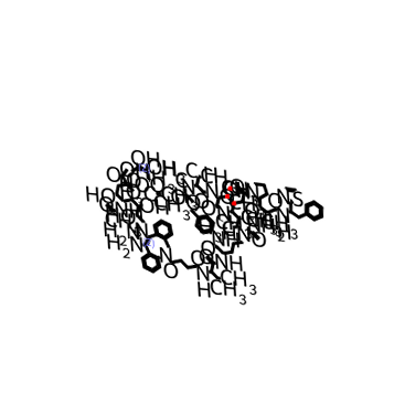 CCC(C)C(C(CC(=O)N1CCCC1C(OC)C(C)C(=O)NC(Cc1ccccc1)c1nccs1)OC)N(C)C(=O)C(NC(=O)C(C(C)C)N(C)C(=O)OCc1ccc(NC(=O)C(CCCNC(N)=O)NC(=O)C(NC(=O)CCC(=O)N2Cc3ccccc3/C(N(N)CC(O)C(O)C3OC(OC/C(O)=C(/O)C(O)OC(C)(C)C)(C(=O)O)CC(O)C3NC(C)=O)=C(/N)c3ccccc32)C(C)C)cc1)C(C)C